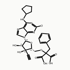 C#C[C@@]1(O)[C@@H](COC(Cc2ccccc2)(C(=O)O)C(=O)O)O[C@@H](n2cnc3c(NC4CCCC4)nc(Cl)nc32)[C@@H]1O